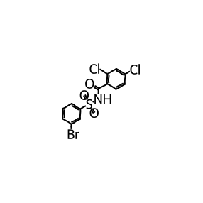 O=C(NS(=O)(=O)c1cccc(Br)c1)c1ccc(Cl)cc1Cl